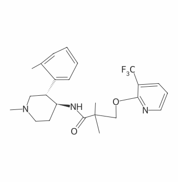 Cc1ccccc1[C@H]1CN(C)CC[C@@H]1NC(=O)C(C)(C)COc1ncccc1C(F)(F)F